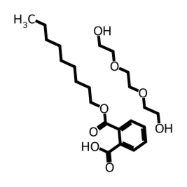 CCCCCCCCCOC(=O)c1ccccc1C(=O)O.OCCOCCOCCO